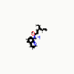 C=CC/C(=C/C)CCC(=O)Nc1cccc2cccnc12